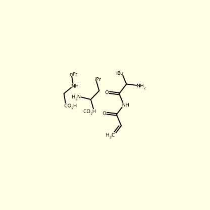 C=CC(=O)NC(=O)C(N)C(C)CC.CC(C)CC(N)C(=O)O.CCCNCC(=O)O